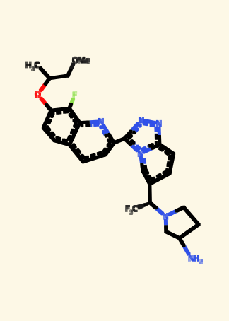 COCC(C)Oc1ccc2ccc(-c3nnc4ccc([C@@H](N5CCC(N)C5)C(F)(F)F)cn34)nc2c1F